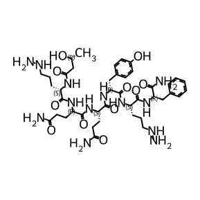 C[C@@H](O)CC(=O)N[C@@H](CCCNN)C(=O)N[C@H](CCC(N)=O)C(=O)N[C@@H](CCC(N)=O)C(=O)N[C@H](Cc1ccc(O)cc1)C(=O)N[C@@H](CCCNN)C(=O)N[C@H](Cc1ccccc1)C(N)=O